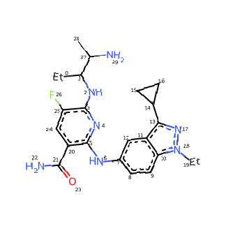 CCC(Nc1nc(Nc2ccc3c(c2)c(C2CC2)nn3CC)c(C(N)=O)cc1F)C(C)N